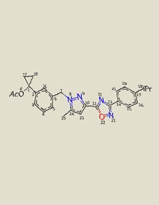 CC(=O)OC1(c2cccc(Cn3nc(-c4nc(-c5ccc(C(C)C)cc5)no4)cc3C)c2)CC1